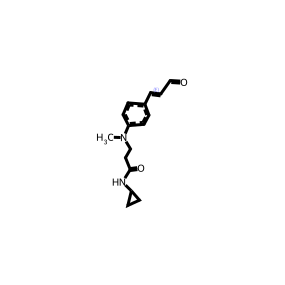 CN(CCC(=O)NC1CC1)c1ccc(/C=C/C=O)cc1